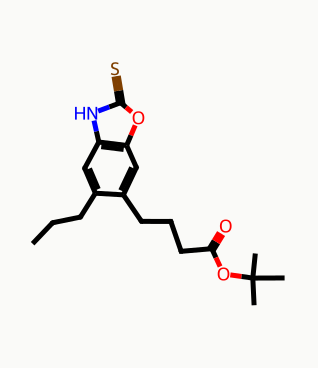 CCCc1cc2[nH]c(=S)oc2cc1CCCC(=O)OC(C)(C)C